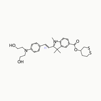 C[N+]1=C(/C=C/c2ccc(N(CCO)CCO)cc2)C(C)(C)c2cc(C(=O)OC3CCSSC3)ccc21